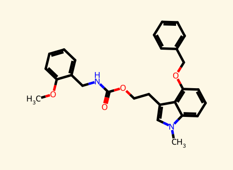 COc1ccccc1CNC(=O)OCCc1cn(C)c2cccc(OCc3ccccc3)c12